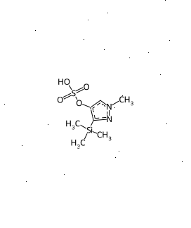 Cn1cc(OS(=O)(=O)O)c([Si](C)(C)C)n1